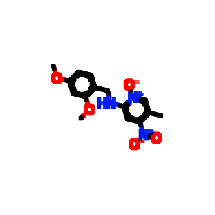 COc1ccc(CNc2cc([N+](=O)[O-])c(C)c[n+]2[O-])c(OC)c1